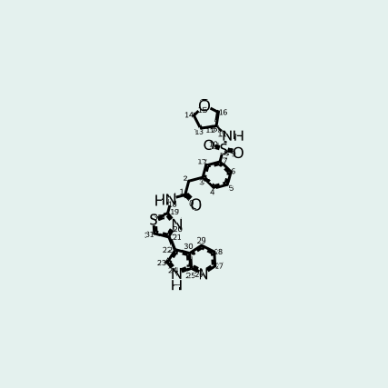 O=C(Cc1cccc(S(=O)(=O)N[C@H]2CCOC2)c1)Nc1nc(-c2c[nH]c3ncccc23)cs1